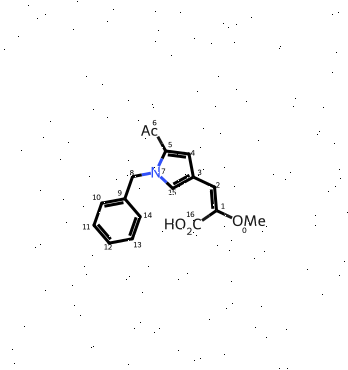 COC(=Cc1cc(C(C)=O)n(Cc2ccccc2)c1)C(=O)O